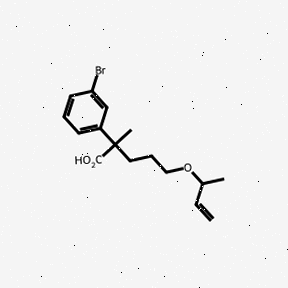 C=CC(C)OCCCC(C)(C(=O)O)c1cccc(Br)c1